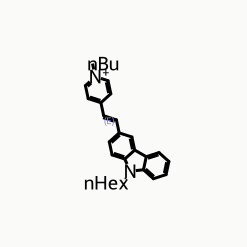 CCCCCCn1c2ccccc2c2cc(/C=C/c3cc[n+](CCCC)cc3)ccc21